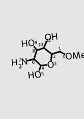 COCC1OC(O)C(N)C(O)C1O